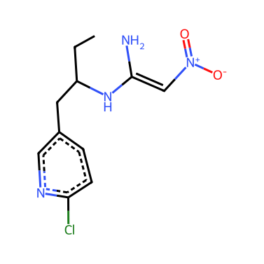 CCC(Cc1ccc(Cl)nc1)NC(N)=C[N+](=O)[O-]